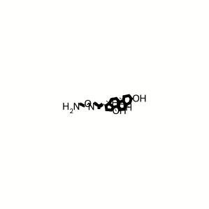 CC(/C=N/OCCN)=C\[C@H]1CC[C@]2(O)[C@@H]3CC[C@@H]4C[C@H](O)CC[C@]4(C)[C@H]3CC[C@]12C